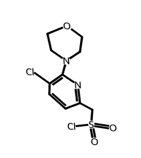 O=S(=O)(Cl)Cc1ccc(Cl)c(N2CCOCC2)n1